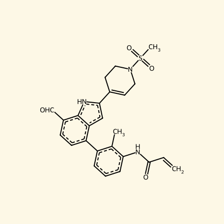 C=CC(=O)Nc1cccc(-c2ccc(C=O)c3[nH]c(C4=CCN(S(C)(=O)=O)CC4)cc23)c1C